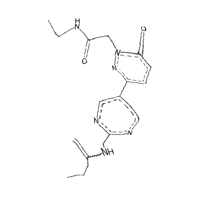 C=C(CC)Nc1ncc(-c2ccc(=O)n(CC(=O)NCC)n2)cn1